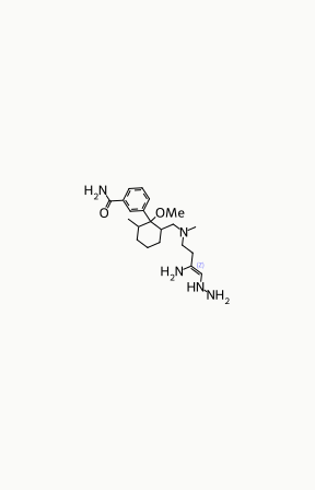 COC1(c2cccc(C(N)=O)c2)C(C)CCCC1CN(C)CC/C(N)=C/NN